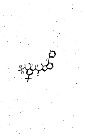 COc1c(NC(=O)c2cc3cccc(Oc4cccnc4)c3n2C)cc(C(C)(C)C)cc1NS(C)(=O)=O